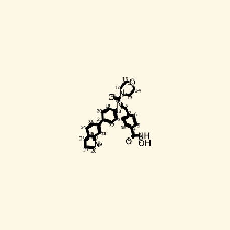 O=C(NO)c1ccc(CN(C(=O)N2CCOCC2)c2ccc(-c3ccc4cccnc4c3)cc2)cc1